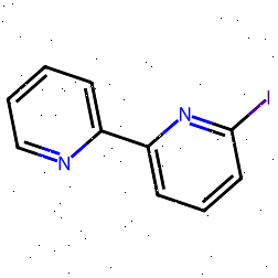 Ic1cccc(-c2ccccn2)n1